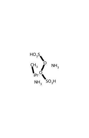 C[C](C)C.N.N.O=S(=O)(O)OOS(=O)(=O)O